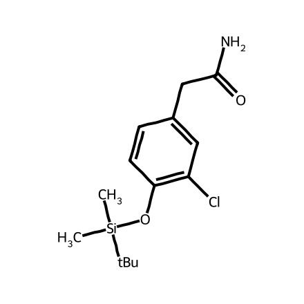 CC(C)(C)[Si](C)(C)Oc1ccc(CC(N)=O)cc1Cl